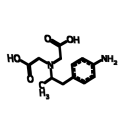 CC(Cc1ccc(N)cc1)N(CC(=O)O)CC(=O)O